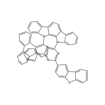 c1ccc(-c2nc(-c3ccc4oc5ccccc5c4c3)nc(-n3c4ccccc4c4ccc5c6ccccc6n(-c6cccc7c8ccccc8c8ccccc8c67)c5c43)n2)cc1